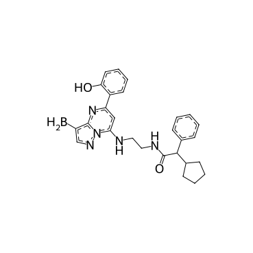 Bc1cnn2c(NCCNC(=O)C(c3ccccc3)C3CCCC3)cc(-c3ccccc3O)nc12